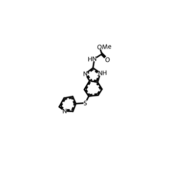 COC(=O)Nc1nc2cc(Sc3cccnc3)ccc2[nH]1